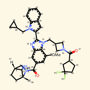 COc1cc(C(=O)N2C[C@H]3CC[C@@H]2[C@@H]3N)cc2nc(-c3cc4ccccc4n3CC3CC3)n(CC3CN(C(=O)C4CCC(F)(F)C4)C3)c12